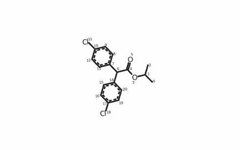 CC(C)OC(=O)C(c1ccc(Cl)cc1)c1ccc(Cl)cc1